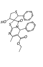 CCOC(=O)C1=C(C)N=C2SC3(C(=O)N2C1c1ccccc1)C(O)CSC3c1ccccc1